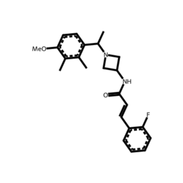 COc1ccc(C(C)N2CC(NC(=O)/C=C/c3ccccc3F)C2)c(C)c1C